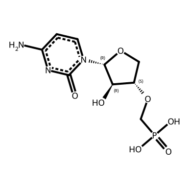 Nc1ccn([C@@H]2OC[C@H](OCP(=O)(O)O)[C@H]2O)c(=O)n1